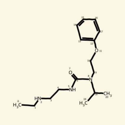 CCNCCNC(=O)N(CCOc1ccccc1)C(C)C